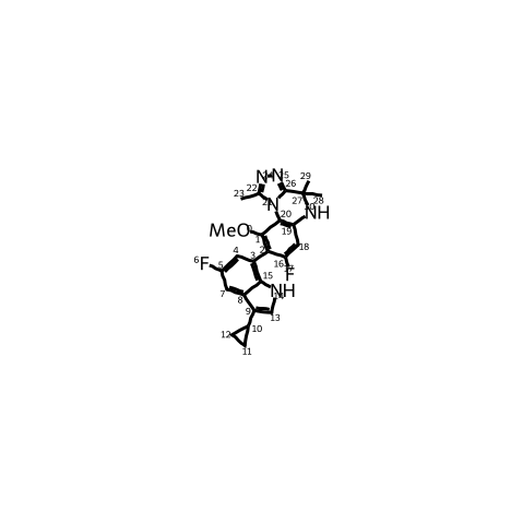 COc1c(-c2cc(F)cc3c(C4CC4)c[nH]c23)c(F)cc2c1-n1c(C)nnc1C(C)(C)N2